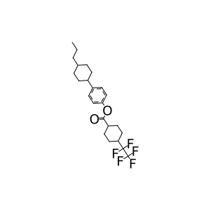 CCCC1CCC(c2ccc(OC(=O)C3CCC(C(F)(F)C(F)(F)F)CC3)cc2)CC1